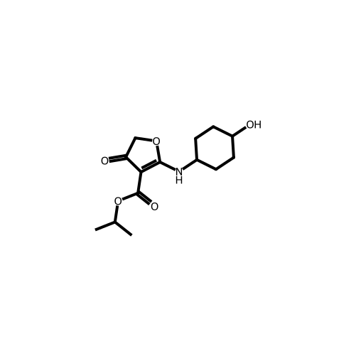 CC(C)OC(=O)C1=C(NC2CCC(O)CC2)OCC1=O